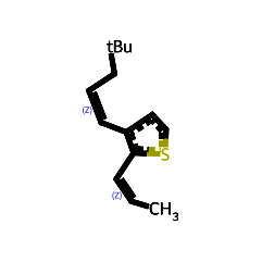 C/C=C\c1sccc1/C=C\CC(C)(C)C